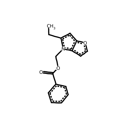 CCc1cc2occc2n1COC(=O)c1ccccc1